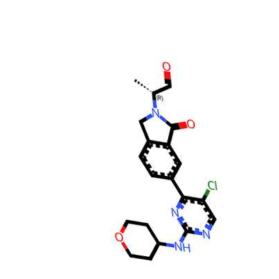 C[C@H](C=O)N1Cc2ccc(-c3nc(NC4CCOCC4)ncc3Cl)cc2C1=O